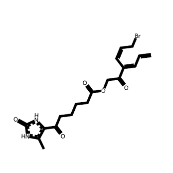 C=C/C=C(\C=C/CBr)C(=O)COC(=O)CCCCC(=O)c1[nH]c(=O)[nH]c1C